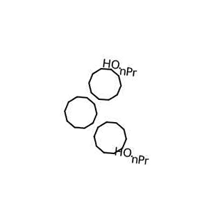 C1CCCCCCCCC1.C1CCCCCCCCC1.C1CCCCCCCCC1.CCCO.CCCO